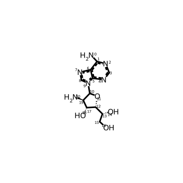 Nc1ncnc2c1ncn2C1O[C@H]([C@H](O)CO)[C@H](O)[C@H]1N